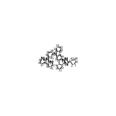 c1ccc(-c2nc(-c3ccccc3)n(-c3ccc4c(c3)c3ccccc3n4-c3cccc(-n4c5ncccc5c5cccnc54)c3)n2)cc1